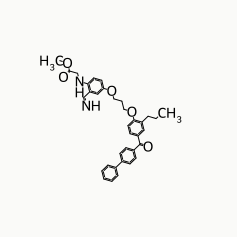 CCCc1cc(C(=O)c2ccc(-c3ccccc3)cc2)ccc1OCCCOc1ccc(NCC(=O)OC)c(C=N)c1